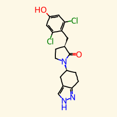 O=C1[C@H](Cc2c(Cl)cc(O)cc2Cl)CCN1[C@H]1CCc2n[nH]cc2C1